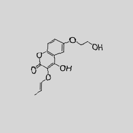 CC=COc1c(O)c2cc(OCCO)ccc2oc1=O